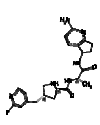 C[C@H](NC(=O)[C@H]1C[C@H](Cc2ccnc(F)c2)CN1)C(=O)NC1CCc2nc(N)ccc21